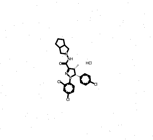 C[C@H]1C(C(=O)NN2CC3CCCC3C2)=NN(c2ccc(Cl)cc2Cl)[C@H]1c1ccc(Cl)cc1.Cl